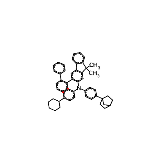 CC1(C)c2ccccc2-c2cc(-c3ccccc3-c3ccccc3)c(N(c3ccc(C4CCCCC4)cc3)c3ccc(C45CCC(CC4)C5)cc3)cc21